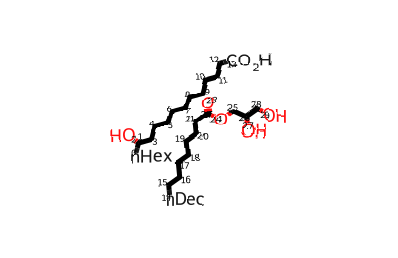 CCCCCCC(O)CCCCCCCCCCC(=O)O.CCCCCCCCCCCCCCCCCC(=O)OCC(O)CO